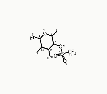 CCC1OC(C)C(OS(=O)(=O)C(F)(F)F)C(C)C1C